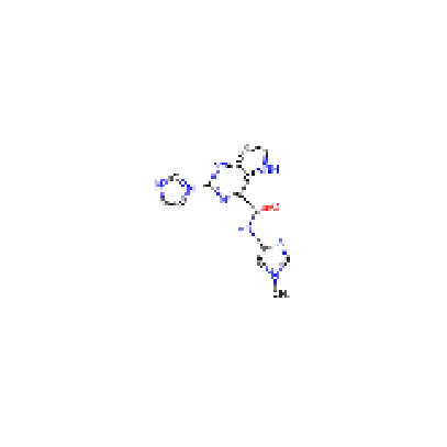 Cn1cnc(NC(=O)c2nc(-n3ccnc3)nc3cc[nH]c23)c1